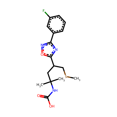 CSCC(CC(C)(C)NC(=O)O)c1nc(-c2cccc(F)c2)no1